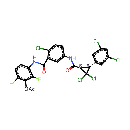 CC(=O)Oc1c(F)ccc(NC(=O)c2cc(NC(=O)[C@H]3[C@H](c4cc(Cl)cc(Cl)c4)C3(Cl)Cl)ccc2Cl)c1F